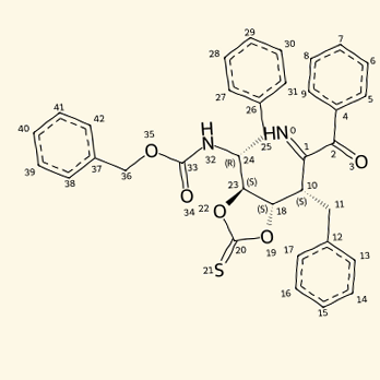 N=C(C(=O)c1ccccc1)[C@H](Cc1ccccc1)[C@@H]1OC(=S)O[C@H]1[C@@H](Cc1ccccc1)NC(=O)OCc1ccccc1